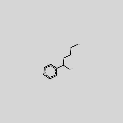 [CH2]CCCC([CH2])c1ccccc1